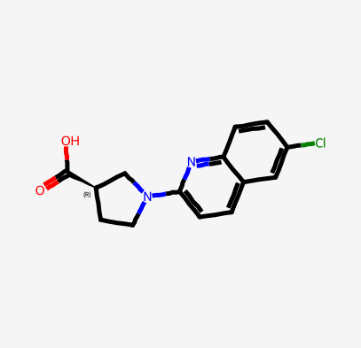 O=C(O)[C@@H]1CCN(c2ccc3cc(Cl)ccc3n2)C1